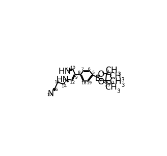 CC1(C)OB(c2ccc(/C(C=N)=C/NCCC#N)cc2)OC1(C)C